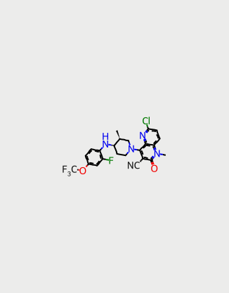 C[C@H]1CN(c2c(C#N)c(=O)n(C)c3ccc(Cl)nc23)CC[C@H]1Nc1ccc(OC(F)(F)F)cc1F